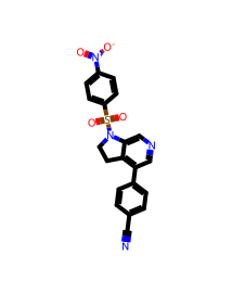 N#Cc1ccc(-c2cncc3c2CCN3S(=O)(=O)c2ccc([N+](=O)[O-])cc2)cc1